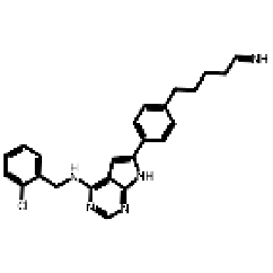 N=CCCCCc1ccc(-c2cc3c(NCc4ccccc4Cl)ncnc3[nH]2)cc1